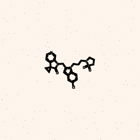 O=C1N(Cc2cc3cc(Cl)ccc3n2CCCN2CCCS2(=O)=O)c2cnccc2C12CC2